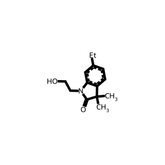 CCc1ccc2c(c1)N(CCO)C(=O)C2(C)C